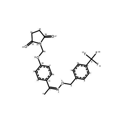 CC(=NOCc1ccc(C(F)(F)F)cc1)c1ccc(OCN2C(=O)CCC2=O)cc1